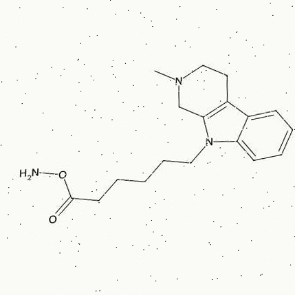 CN1CCc2c(n(CCCCCC(=O)ON)c3ccccc23)C1